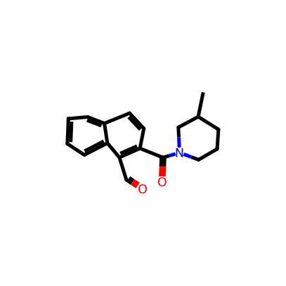 CC1CCCN(C(=O)c2ccc3ccccc3c2C=O)C1